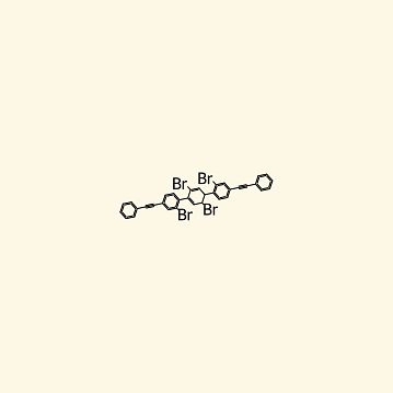 BrC1=CC(c2ccc(C#Cc3ccccc3)cc2Br)C(Br)C=C1c1ccc(C#Cc2ccccc2)cc1Br